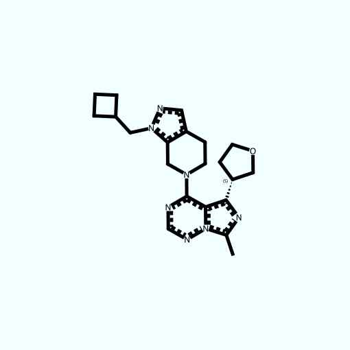 Cc1nc([C@@H]2CCOC2)c2c(N3CCc4cnn(CC5CCC5)c4C3)ncnn12